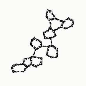 c1ccc(-c2ccccc2-c2cccc3c2sc2ccccc23)c(-c2ccc3c(c2)c2ccccc2c2nccn32)c1